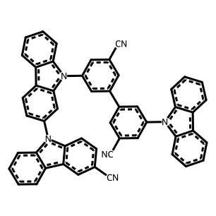 N#Cc1cc(-c2cc(C#N)cc(-n3c4ccccc4c4ccc(-n5c6ccccc6c6cc(C#N)ccc65)cc43)c2)cc(-n2c3ccccc3c3ccccc32)c1